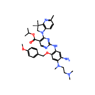 COc1ccc(COc2cc(N(C)CCN(C)C)c(N)cc2Nc2ncc(C(=O)OC(C)C)c(N3CC(C)(C)c4nc(C)ccc43)n2)cc1